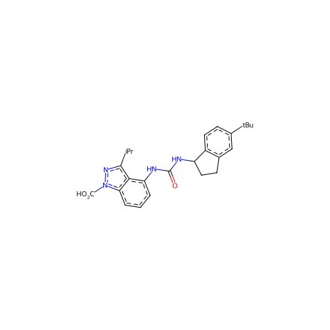 CC(C)c1nn(C(=O)O)c2cccc(NC(=O)NC3CCc4cc(C(C)(C)C)ccc43)c12